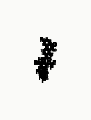 CN(C(=O)c1ccc(F)cc1)c1cccc(C(=O)Nc2c(Br)cc(C(F)(C(F)(F)F)C(F)(F)C(F)(F)F)cc2OC(F)F)c1F